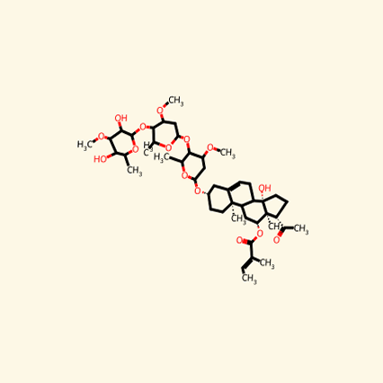 C/C=C(\C)C(=O)O[C@@H]1CC2C(CC=C3C[C@@H](OC4CC(OC)C(OC5CC(OC)C(OC6OC(C)C(O)C(OC)C6O)C(C)O5)C(C)O4)CC[C@@]32C)[C@@]2(O)CC[C@H](C(C)=O)[C@@]12C